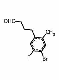 Cc1cc(Br)c(F)cc1CCCC=O